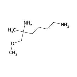 COCC(C)(N)CCCCN